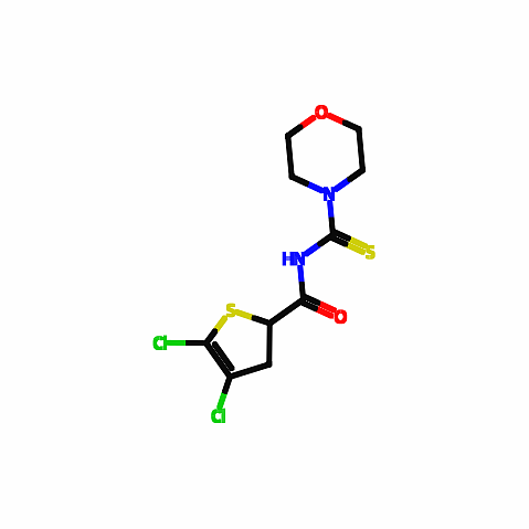 O=C(NC(=S)N1CCOCC1)C1CC(Cl)=C(Cl)S1